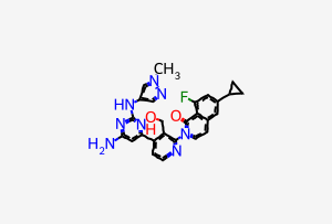 Cn1cc(Nc2nc(N)cc(-c3ccnc(-n4ccc5cc(C6CC6)cc(F)c5c4=O)c3CO)n2)cn1